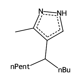 CCCCCC(CCCC)c1c[nH]nc1C